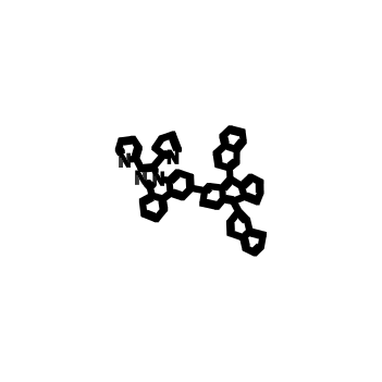 C1=CN=C(c2c(-c3ccccn3)nc3c4ccccc4c4cc(-c5ccc6c(-c7ccc8ccccc8c7)c7ccccc7c(-c7ccc8ccccc8c7)c6c5)ccc4n23)CC1